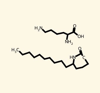 CCCCCCCCCCC1CCCCC(=O)N1.NCCCCC(N)C(=O)O